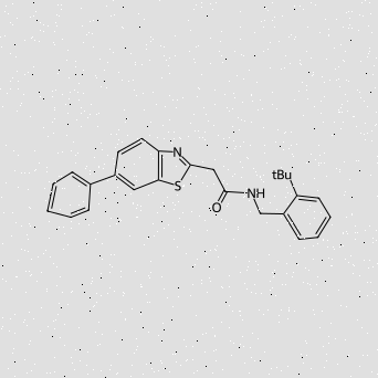 CC(C)(C)c1ccccc1CNC(=O)Cc1nc2ccc(-c3ccccc3)cc2s1